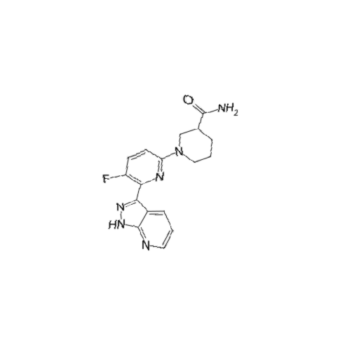 NC(=O)C1CCCN(c2ccc(F)c(-c3n[nH]c4ncccc34)n2)C1